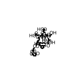 O=C(O)CC[C@@H](NC(=O)CCOCCOCCC(=O)ON1C(=O)CCC1=O)C(=O)N[C@H](CCC(=O)O)C(=O)N[C@H](CCCO)C(=O)N[C@H](CCCCNC(=O)c1cccc(I)c1)C(=O)O